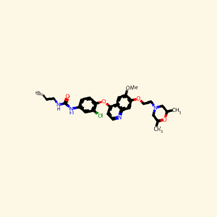 COc1cc2c(Oc3ccc(NC(=O)NCCC(C)(C)C)cc3Cl)ccnc2cc1OCCN1CC(C)OC(C)C1